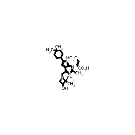 Cc1nc(CN2CC(O)C2(C)C)c2cc(C3CCC(C)(C)CC3)sc2n1.O=C(O)C=CC(=O)O